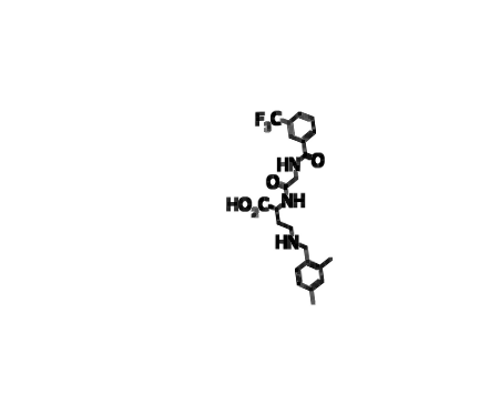 Cc1ccc(CNCC[C@H](NC(=O)CNC(=O)c2cccc(C(F)(F)F)c2)C(=O)O)c(C)c1